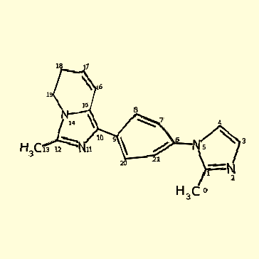 Cc1nccn1-c1ccc(-c2nc(C)n3c2C=CCC3)cc1